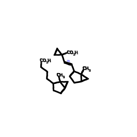 CC12CC1CCC2/C=C/C1(C(=O)O)CC1.CC12CC1CCC2CCCC(=O)O